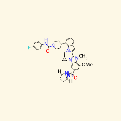 COc1cc(C(=O)N2C[C@H]3CC[C@@H]2[C@@H]3N)cc2nc(-c3cc4cccc(C5CCN(C(=O)Nc6ccc(F)cc6)CC5)c4n3CC3CC3)n(C)c12